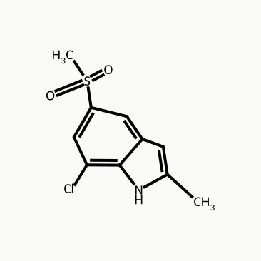 Cc1cc2cc(S(C)(=O)=O)cc(Cl)c2[nH]1